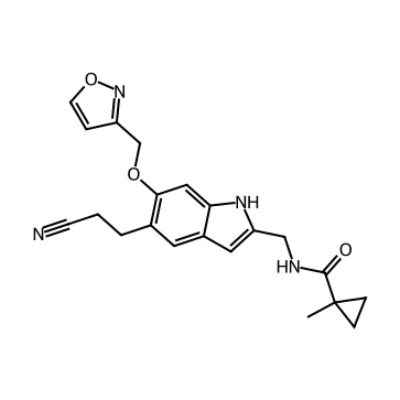 CC1(C(=O)NCc2cc3cc(CCC#N)c(OCc4ccon4)cc3[nH]2)CC1